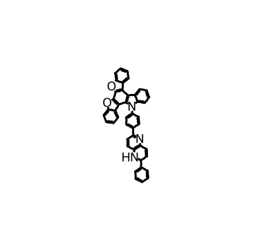 C1=CC(c2ccccc2)Nc2ccc(-c3ccc(-n4c5ccccc5c5c6c7ccccc7oc6c6oc7ccccc7c6c54)cc3)nc21